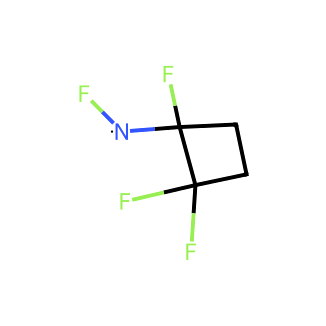 F[N]C1(F)CCC1(F)F